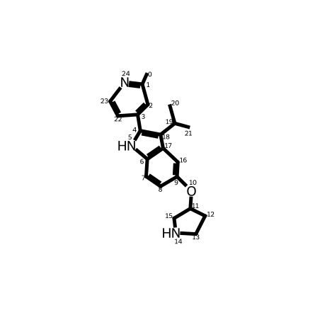 Cc1cc(-c2[nH]c3ccc(OC4CCNC4)cc3c2C(C)C)ccn1